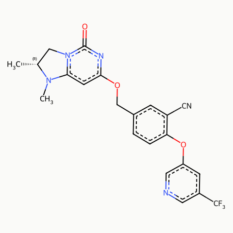 C[C@@H]1Cn2c(cc(OCc3ccc(Oc4cncc(C(F)(F)F)c4)c(C#N)c3)nc2=O)N1C